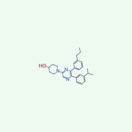 CCCc1cccc(-c2nc(N3CCC(O)CC3)cnc2-c2cccc(C(C)C)c2)c1